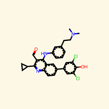 CN(C)CCc1cccc(Nc2c(C=O)c(C3CC3)nc3ccc(-c4cc(Cl)c(O)c(Cl)c4)cc23)c1